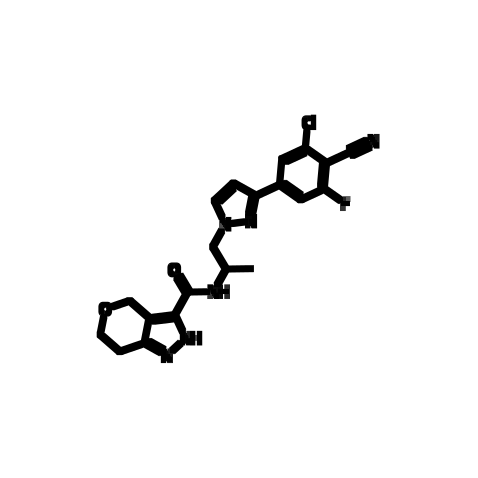 CC(Cn1ccc(-c2cc(F)c(C#N)c(Cl)c2)n1)NC(=O)c1[nH]nc2c1COCC2